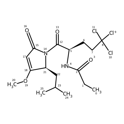 CCC(=O)N[C@H](CCC(Cl)(Cl)Cl)C(=O)N1C(=O)C=C(OC)[C@@H]1CC(C)C